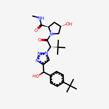 CNC(=O)[C@H]1C[C@H](O)CN1C(=O)[C@@H](n1cc(C(O)c2ccc(C(C)(C)C)cc2)nn1)C(C)(C)C